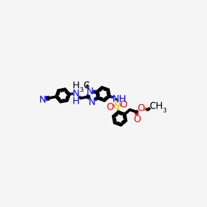 CCOC(=O)Cc1ccccc1S(=O)(=O)Nc1ccc2c(c1)nc(CNc1ccc(C#N)cc1)n2C